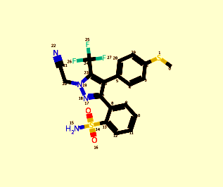 CSc1ccc(-c2c(-c3ccccc3S(N)(=O)=O)nn(CC#N)c2C(F)(F)F)cc1